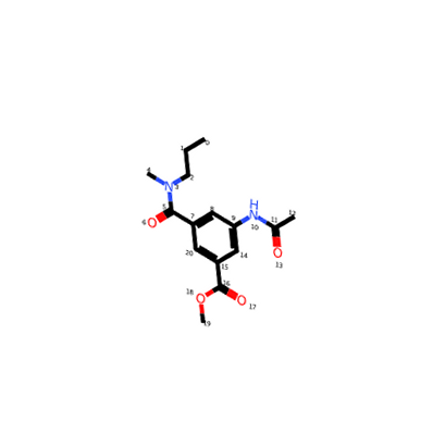 CCCN(C)C(=O)c1cc(NC(C)=O)cc(C(=O)OC)c1